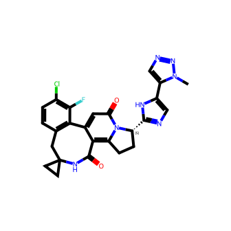 Cn1nncc1-c1cnc([C@@H]2CCc3c4c(cc(=O)n32)-c2c(ccc(Cl)c2F)CC2(CC2)NC4=O)[nH]1